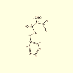 CN(I)C(C=O)C(=O)OCc1ccccc1